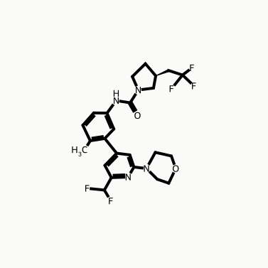 Cc1ccc(NC(=O)N2CC[C@@H](CC(F)(F)F)C2)cc1-c1cc(C(F)F)nc(N2CCOCC2)c1